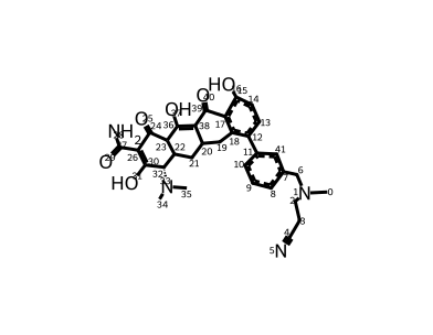 CN(CCC#N)Cc1cccc(-c2ccc(O)c3c2CC2CC4C(C(=O)C(C(N)=O)=C(O)[C@H]4N(C)C)C(O)=C2C3=O)c1